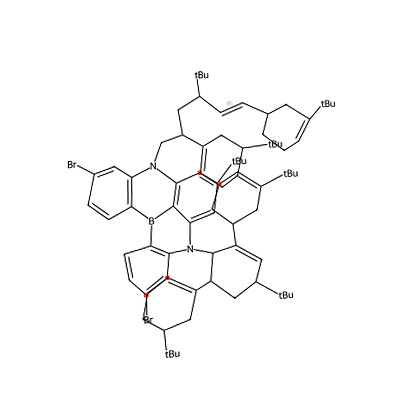 CC(C)(C)C1=CCCC(/C=C/C(CC(CN2c3cc(Br)ccc3B3c4ccc(Br)cc4N(C4C(C5CCC=C(C(C)(C)C)C5)=CC(C(C)(C)C)CC4C4=CCCC(C(C)(C)C)C4)c4cc(C(C)(C)C)cc2c43)C2=CCCC(C(C)(C)C)C2)C(C)(C)C)C1